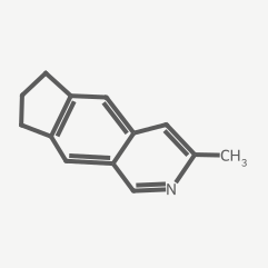 Cc1cc2cc3c(cc2cn1)CCC3